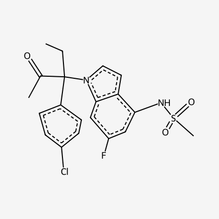 CCC(C(C)=O)(c1ccc(Cl)cc1)n1ccc2c(NS(C)(=O)=O)cc(F)cc21